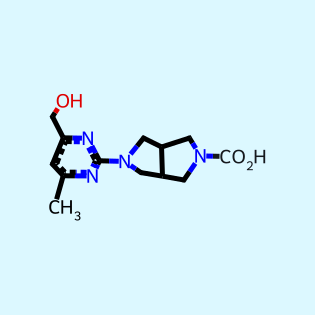 Cc1cc(CO)nc(N2CC3CN(C(=O)O)CC3C2)n1